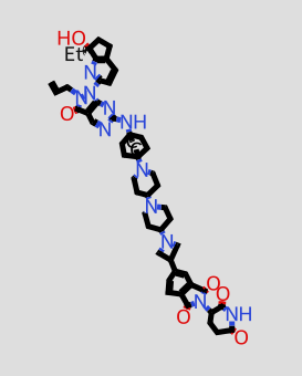 C=CCn1c(=O)c2cnc(NC34CCC(N5CCC(N6CCC(N7CC(c8ccc9c(c8)C(=O)N(C8CCC(=O)NC8=O)C9=O)C7)CC6)CC5)(CC3)CC4)nc2n1-c1ccc2c(n1)[C@@](O)(CC)CC2